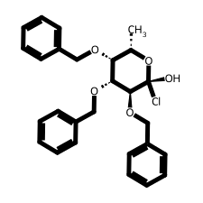 C[C@@H]1O[C@](O)(Cl)[C@@H](OCc2ccccc2)[C@H](OCc2ccccc2)[C@@H]1OCc1ccccc1